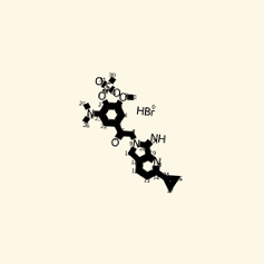 Br.COc1cc(C(=O)CN2Cc3ccc(C4CC4)nc3C2=N)cc(N(C)C)c1OS(C)(=O)=O